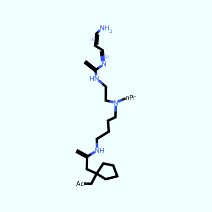 C=C(CC1(CC(C)=O)CCCC1)NCCCCN(CCC)CCNC(=C)/N=C\C=C/N